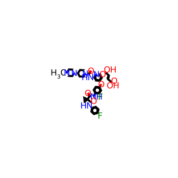 CN1CCN(C2CCN(C(=O)Nc3cc(Oc4ccc(NC(=O)C5(C(=O)Nc6ccc(F)cc6)CC5)c(F)c4)ccn3)CC2)CC1.O=C(O)/C=C/C(=O)O